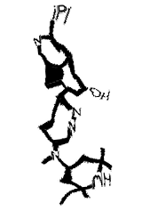 CC(C)c1cc2cc(O)c(-c3ccc(N(C)C4CC(C)(C)NC(C)(C)C4)nn3)cc2cn1